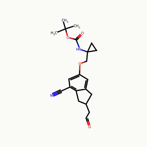 CC(C)(C)OC(=O)NC1(COc2cc(C#N)c3c(c2)CC(CC=O)C3)CC1